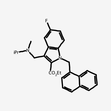 CCOC(=O)c1c(CN(C)C(C)C)c2cc(F)ccc2n1Cc1cccc2ccccc12